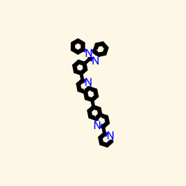 c1ccc(-n2c(-c3cccc(-c4ccc5cc(-c6ccc7nc(-c8ccccn8)ccc7c6)ccc5n4)c3)nc3ccccc32)cc1